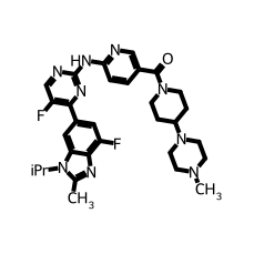 Cc1nc2c(F)cc(-c3nc(Nc4ccc(C(=O)N5CCC(N6CCN(C)CC6)CC5)cn4)ncc3F)cc2n1C(C)C